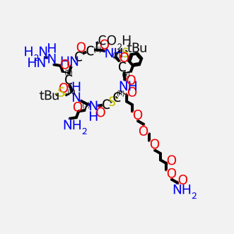 CC(C)(C)SC[C@@H]1NC(=O)[C@H](CC(=O)O)CC(=O)CNC(=O)[C@H](CCCNC(=N)N)CC(=O)[C@H](CSC(C)(C)C)NC(=O)[C@H](CCCCN)NC(=O)CSC[C@@H](C(=O)CCCOCCOCCOCCCC(=O)COCC(N)=O)NC(=O)[C@H](Cc2ccccc2)CC1=O